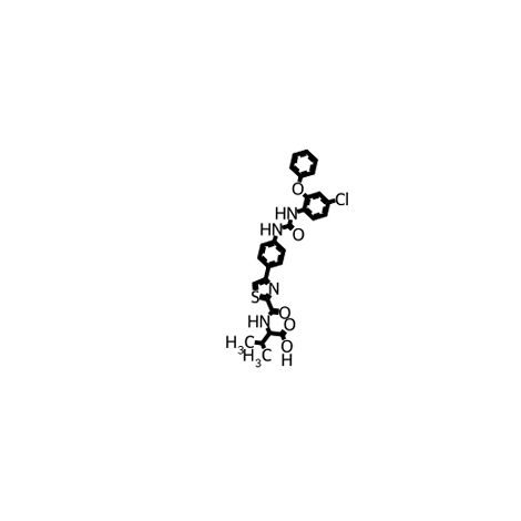 CC(C)C(NC(=O)c1nc(-c2ccc(NC(=O)Nc3ccc(Cl)cc3Oc3ccccc3)cc2)cs1)C(=O)O